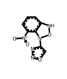 O=[N+]([O-])c1cccc2c1N(c1conn1)ON2